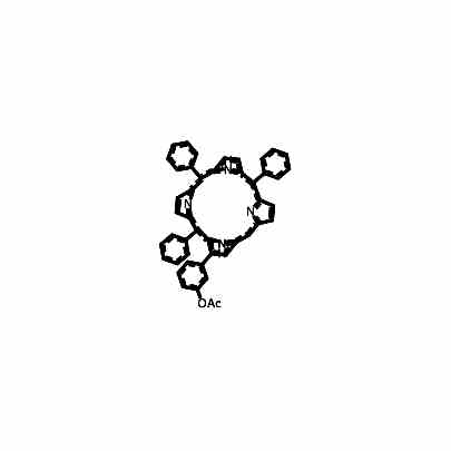 CC(=O)Oc1cccc(-c2cc3cc4nc(c(-c5ccccc5)c5ccc([nH]5)c(-c5ccccc5)c5nc(c(-c6ccccc6)c2[nH]3)C=C5)C=C4)c1